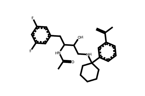 C=C(C)c1cccc(C2(NCC(O)C(Cc3cc(F)cc(F)c3)NC(C)=O)CCCCC2)c1